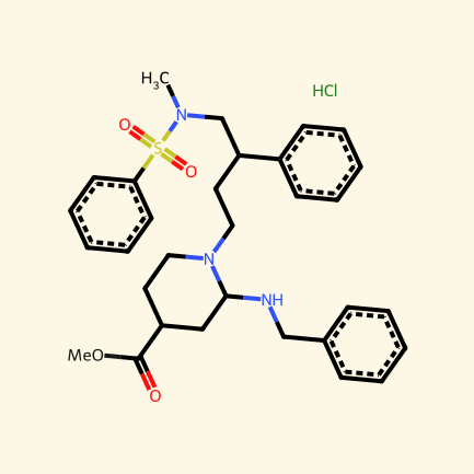 COC(=O)C1CCN(CCC(CN(C)S(=O)(=O)c2ccccc2)c2ccccc2)C(NCc2ccccc2)C1.Cl